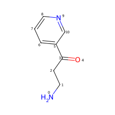 NCCC(=O)c1cccnc1